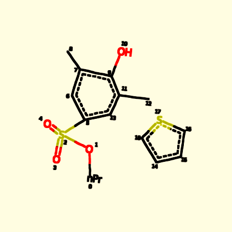 CCCOS(=O)(=O)c1cc(C)c(O)c(C)c1.c1ccsc1